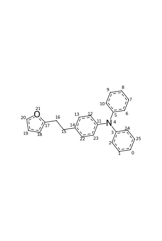 c1ccc(N(c2ccccc2)c2ccc(CCc3ccco3)cc2)cc1